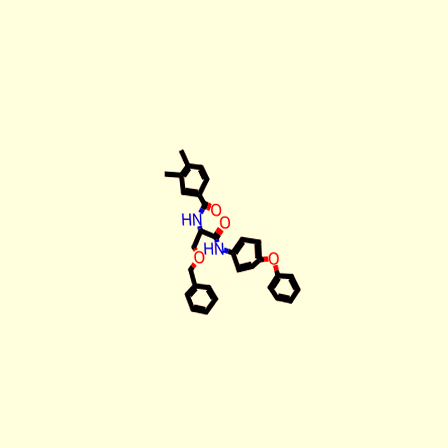 Cc1ccc(C(=O)NC(COCc2ccccc2)C(=O)Nc2ccc(Oc3ccccc3)cc2)cc1C